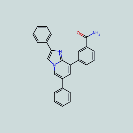 NC(=O)c1cccc(-c2cc(-c3ccccc3)cn3cc(-c4ccccc4)nc23)c1